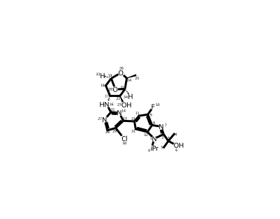 CC(C)n1c(C(C)(C)O)nc2c(F)cc(-c3nc(N[C@@H]4C[C@@H]5O[C@H]([C@H]4O)[C@H](C)O5)ncc3Cl)cc21